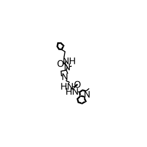 Cc1cc(NC(=O)NCCN2CCC(N(C)C(=O)NCCc3ccccc3)C2)c2ccccc2n1